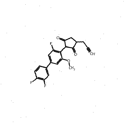 C#CCC1CC(=O)C(c2c(F)cc(-c3ccc(F)c(F)c3)cc2OC)C1=O